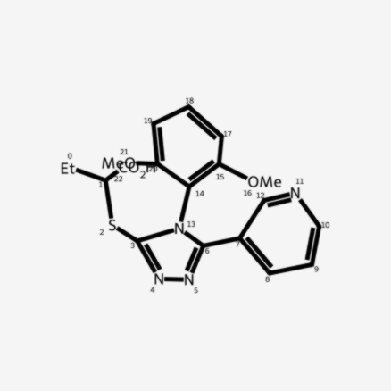 CCC(Sc1nnc(-c2cccnc2)n1-c1c(OC)cccc1OC)C(=O)O